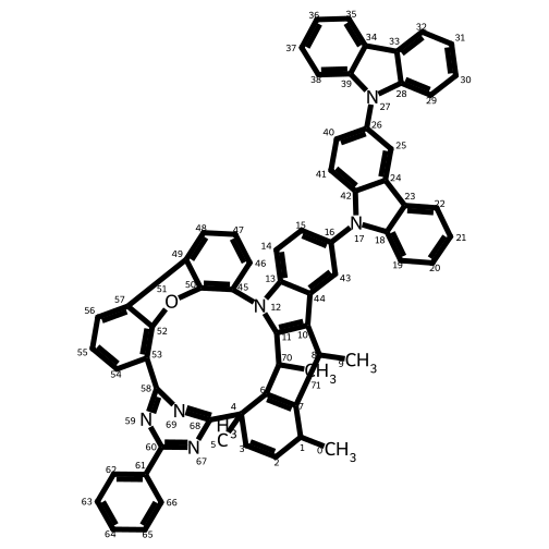 CC1C=CC2(C)C3=C1C(C)c1c(n(c4ccc(-n5c6ccccc6c6cc(-n7c8ccccc8c8ccccc87)ccc65)cc14)-c1cccc4c1oc1c(cccc14)-c1nc(-c4ccccc4)nc2n1)C3C